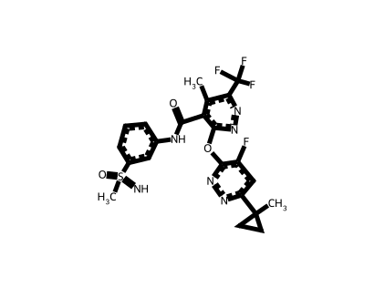 Cc1c(C(F)(F)F)nnc(Oc2nnc(C3(C)CC3)cc2F)c1C(=O)Nc1cccc(S(C)(=N)=O)c1